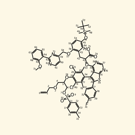 C=CCOCC(COS(=O)(=O)c1ccc(C)cc1)Oc1c(Cl)c(C)c(-c2c(-c3ccc(F)cc3)sc3ncnc(OC(Cc4cc(O[Si](C)(C)C(C)(C)C)ccc4OCc4ccnc(-c5ccccc5OC)n4)C(=O)O)c23)c(C)c1Cl